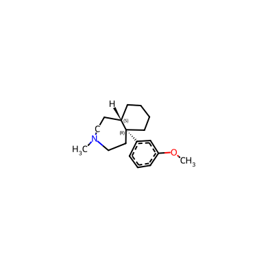 COc1cccc([C@@]23CCCC[C@H]2CCN(C)CC3)c1